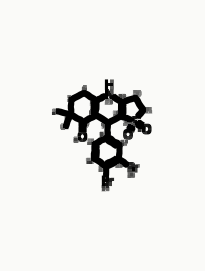 CC1(C)CCC2=C(C1=O)C(c1ccc(Br)c(Br)c1)C1=C(CCS1(=O)=O)N2